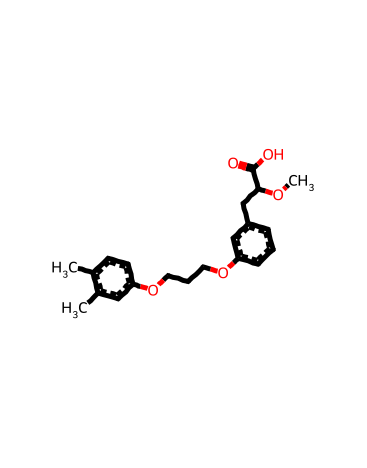 COC(Cc1cccc(OCCCOc2ccc(C)c(C)c2)c1)C(=O)O